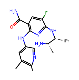 Cc1cc(Nc2nc(N[C@H](C(C)C)[C@H](C)N)c(F)cc2C(N)=O)cnc1C